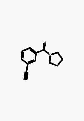 C#Cc1cccc(C(=O)N2CCCC2)c1